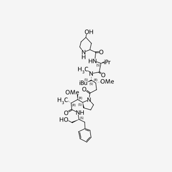 CC[C@H](C)[C@@H]([C@@H](CC(=O)N1CCC[C@H]1[C@H](OC)[C@@H](C)C(=O)N[C@H](CO)Cc1ccccc1)OC)N(C)C(=O)[C@@H](NC(=O)C1CC(O)CCN1)C(C)C